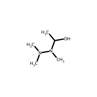 CC(O)N(C)N(C)C